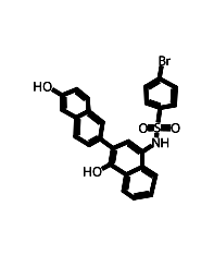 O=S(=O)(Nc1cc(-c2ccc3cc(O)ccc3c2)c(O)c2ccccc12)c1ccc(Br)cc1